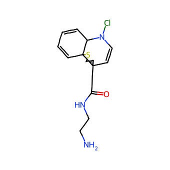 NCCNC(=O)C1=C2C=CN(Cl)C3C=CC=CC23SC1